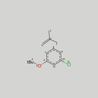 C=C(C)C.CC(C)(C)Oc1cccc(Cl)c1